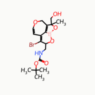 CC(C)(C)OC(=O)NCC1OB2OC(C)(CO)C3=C2C(=C1Br)C=COC3